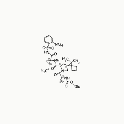 C=C[C@@H]1C[C@]1(NC(=O)[C@@H]1C[C@@]2(CN1C(=O)[C@@H](NC(=O)OC(C)(C)C)C(C)C)C(C)(C)C21CCC1)C(=O)NS(=O)(=O)c1ccccc1NC